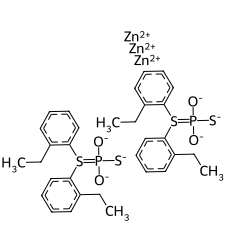 CCc1ccccc1S(c1ccccc1CC)=P([O-])([O-])[S-].CCc1ccccc1S(c1ccccc1CC)=P([O-])([O-])[S-].[Zn+2].[Zn+2].[Zn+2]